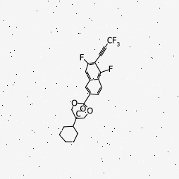 Fc1cc2cc(C34OCC(C5CCCCC5)(CO3)CO4)ccc2c(F)c1C#CC(F)(F)F